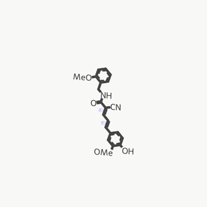 COc1cc(/C=C/C=C(\C#N)C(=O)NCc2ccccc2OC)ccc1O